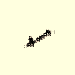 O=c1[nH]cnn1-c1ccc(N2CCN(c3ccc(OC[C@H]4CO[C@](Cn5cncn5)(c5ccc(Cl)cc5Cl)O4)cc3)CC2)cc1